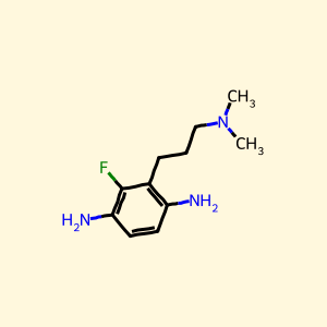 CN(C)CCCc1c(N)ccc(N)c1F